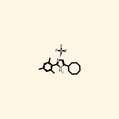 Cc1cc(C)c(C2=NC=C(C3CCCCCCC3)[NH2+]2)c(C)c1.F[B-](F)(F)F